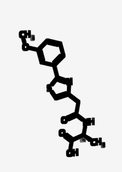 COc1cccc(-c2nc(CC(=O)N[C@@H](C)C(=O)O)cs2)c1